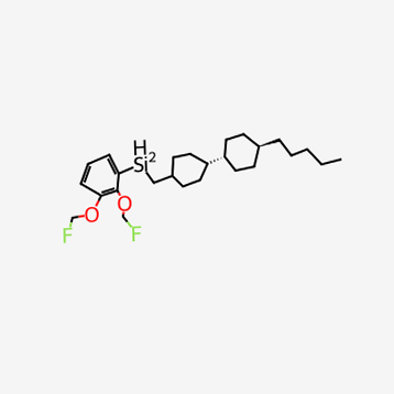 CCCCC[C@H]1CC[C@H](C2CCC(C[SiH2]c3cccc(OCF)c3OCF)CC2)CC1